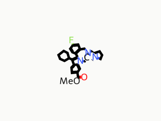 COC(=O)c1ccc2c(C3CCCCC3)c3n(c2c1)CCN(C[C@H]1CCCN1C)Cc1cc(F)ccc1-3